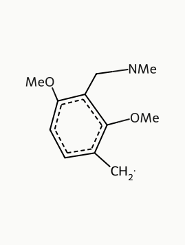 [CH2]c1ccc(OC)c(CNC)c1OC